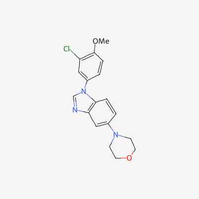 COc1ccc(-n2cnc3cc(N4CCOCC4)ccc32)cc1Cl